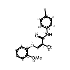 CCC(=COc1ccccc1OC)C(=O)Nc1ccc(C)cc1